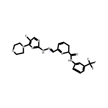 O=C(Nc1cccc(C(F)(F)F)c1)C1CC=CC(/C=N/Nc2ncc(F)c(N3CCOCC3)n2)=N1